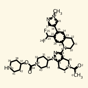 CC(=O)N1CCc2c(c(N3CCCc4cc(-c5cnn(C)c5)c(C(F)F)cc43)nn2C2CCN(C(=O)OC3CCNCC3)CC2)C1